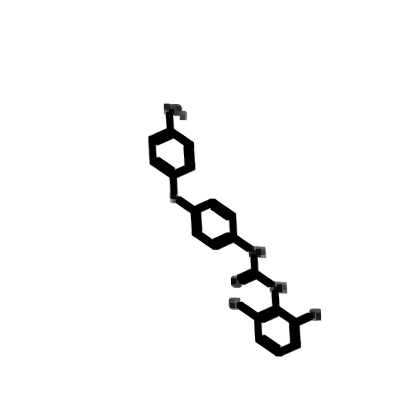 O=C(Nc1ccc(Sc2ccc([N+](=O)[O-])cc2)cc1)Nc1c(Cl)cccc1Cl